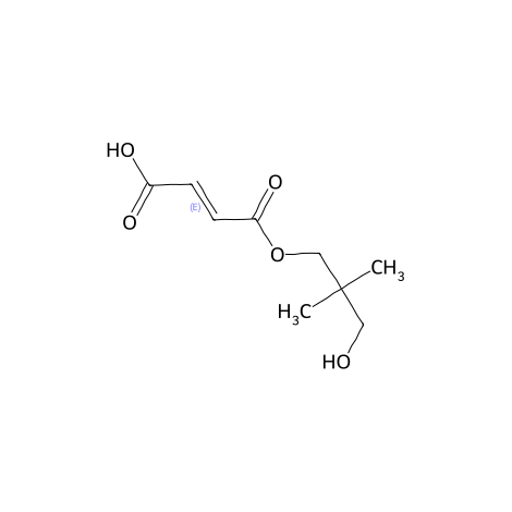 CC(C)(CO)COC(=O)/C=C/C(=O)O